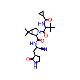 CC(C)(C)C(NC(=O)C1CC1)C(=O)N1CC2C(C1C(=O)NC(C#N)CC1CCNC1=O)C2(C)C